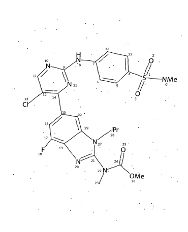 CNS(=O)(=O)c1ccc(Nc2ncc(Cl)c(-c3cc(F)c4nc(N(C)C(=O)OC)n(C(C)C)c4c3)n2)cc1